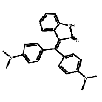 CN(C)c1ccc(C(=C2C(=O)Nc3ccccc32)c2ccc(N(C)C)cc2)cc1